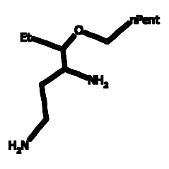 CCCCCCOC(CC)C(N)CCN